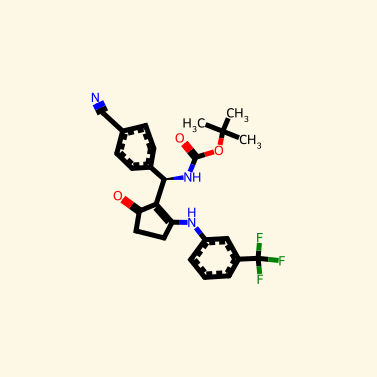 CC(C)(C)OC(=O)N[C@@H](C1=C(Nc2cccc(C(F)(F)F)c2)CCC1=O)c1ccc(C#N)cc1